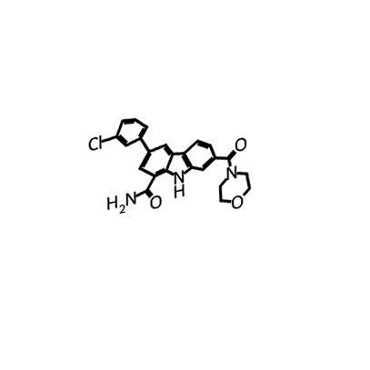 NC(=O)c1cc(-c2cccc(Cl)c2)cc2c1[nH]c1cc(C(=O)N3CCOCC3)ccc12